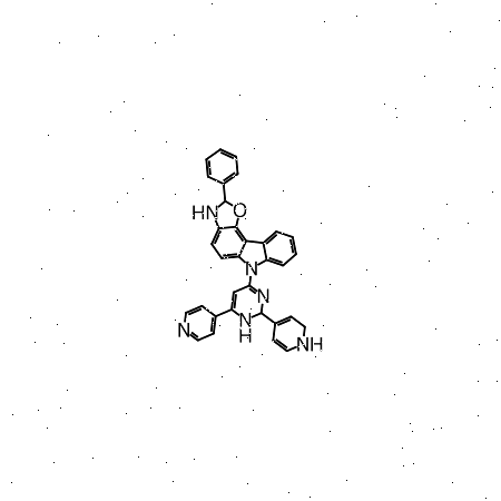 C1=CC(C2N=C(n3c4ccccc4c4c5c(ccc43)NC(c3ccccc3)O5)C=C(c3ccncc3)N2)=CCN1